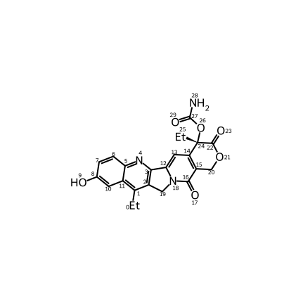 CCc1c2c(nc3ccc(O)cc13)-c1cc3c(c(=O)n1C2)COC(=O)[C@@]3(CC)OC(N)=O